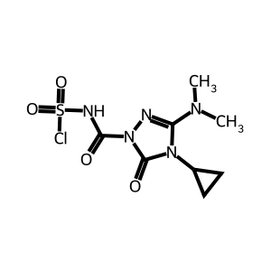 CN(C)c1nn(C(=O)NS(=O)(=O)Cl)c(=O)n1C1CC1